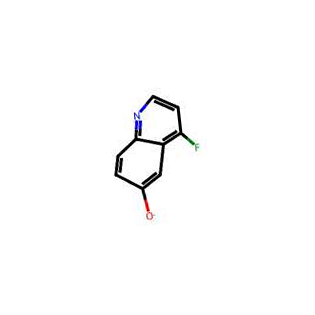 [O]c1ccc2nccc(F)c2c1